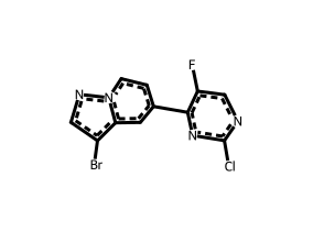 Fc1cnc(Cl)nc1-c1ccn2ncc(Br)c2c1